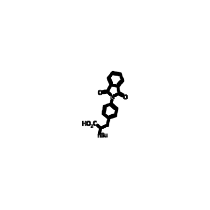 CCCCC(Cc1ccc(N2C(=O)c3ccccc3C2=O)cc1)C(=O)O